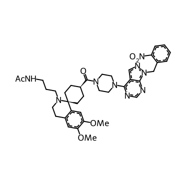 COc1cc2c(cc1OC)[C@]1(CC[C@H](C(=O)N3CCN(c4ncnc5c4cnn5Cc4ccccc4[N+](=O)[O-])CC3)CC1)N(CCCNC(C)=O)CC2